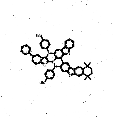 CC(C)(C)c1ccc(N2B3c4oc5ccc(-c6ccccc6)cc5c4N(c4ccc(C(C)(C)C)cc4)c4cc5c(oc6ccccc65)c(c43)-c3cc4c(cc32)oc2cc3c(cc24)C(C)(C)CCC3(C)C)cc1